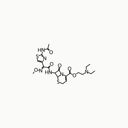 CCN(CC)CCOC(=O)C1=CCSC2C(NC(=O)C(=NOC)c3csc(NC(C)=O)n3)C(=O)N12